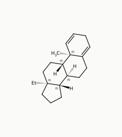 CC[C@@]12CCC[C@H]1[C@@H]1CCC3=CCC=C[C@]3(C)[C@H]1CC2